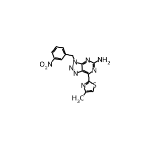 Cc1csc(-c2nc(N)nc3c2nnn3Cc2cccc([N+](=O)[O-])c2)n1